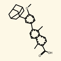 COc1ccc(-c2ccc3c(C)c(C(=O)O)ccc3c2C)cc1C12CC3CC(CC(C3)C1)C2